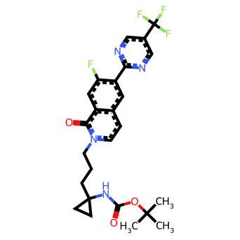 CC(C)(C)OC(=O)NC1(CCCn2ccc3cc(-c4ncc(C(F)(F)F)cn4)c(F)cc3c2=O)CC1